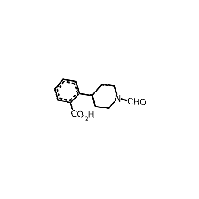 O=CN1CCC(c2ccccc2C(=O)O)CC1